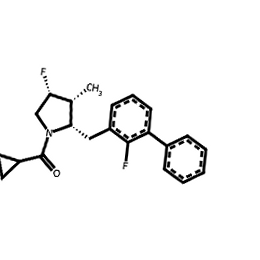 C[C@H]1[C@@H](F)CN(C(=O)C2CC2)[C@H]1Cc1cccc(-c2ccccc2)c1F